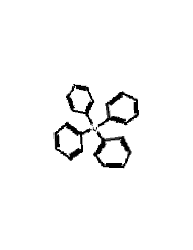 c1cc[c]([V]([c]2ccccc2)([c]2ccccc2)[c]2ccccc2)cc1